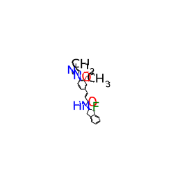 COc1cc(C=CC(=O)N[C@@H]2Cc3ccccc3C2F)ccc1-n1cnc(C)c1